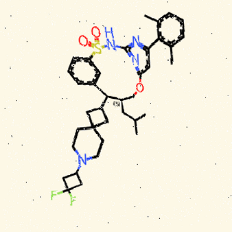 Cc1cccc(C)c1-c1cc2nc(n1)NS(=O)(=O)c1cccc(c1)C(C1CC3(CCN(C4CC(F)(F)C4)CC3)C1)[C@H](CC(C)C)CO2